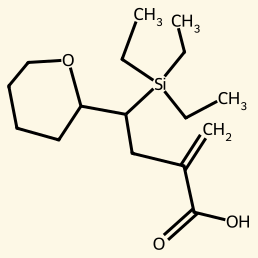 C=C(CC(C1CCCCO1)[Si](CC)(CC)CC)C(=O)O